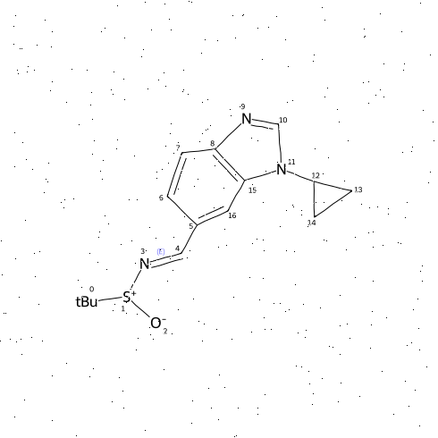 CC(C)(C)[S+]([O-])/N=C/c1ccc2ncn(C3CC3)c2c1